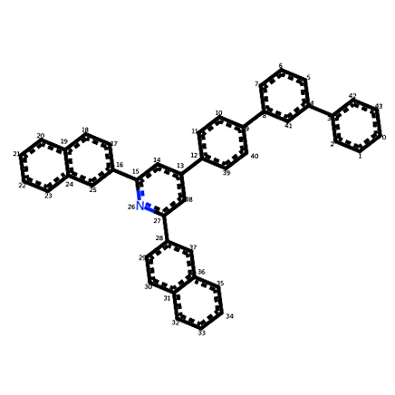 c1ccc(-c2cccc(-c3ccc(-c4cc(-c5ccc6ccccc6c5)nc(-c5ccc6ccccc6c5)c4)cc3)c2)cc1